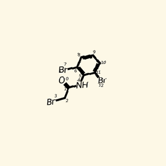 O=C(CBr)Nc1c(Br)cccc1Br